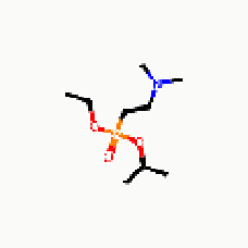 CCOP(=O)(CCN(C)C)OC(C)C